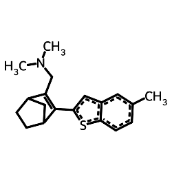 Cc1ccc2sc(C3=C(CN(C)C)C4CCC3C4)cc2c1